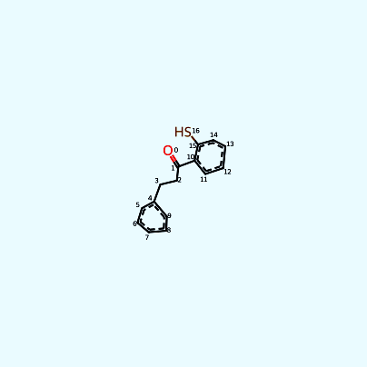 O=C(CCc1ccccc1)c1ccccc1S